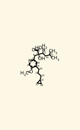 COc1cnc(C[C@](O)(C(=O)O)[C@@H](N)CC(C)C)cc1CCCC1CC1